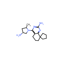 C[C@@H]1C[C@H](N)CN1c1nc(N)nc2c1CCCC21CCCC1